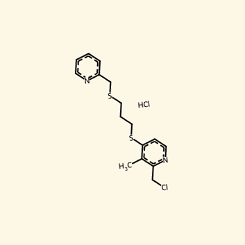 Cc1c(SCCCSCc2ccccn2)ccnc1CCl.Cl